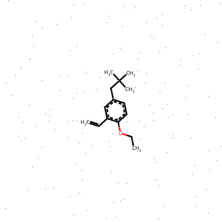 C=Cc1cc(CC(C)(C)C)ccc1OCC